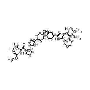 COC(=O)N[C@H](C(=O)N1CCC[C@H]1c1ncc(C2=CCC(C)(c3ccc(-c4cnc([C@@H]5COCCN5C(=O)[C@@H](N)C(C)C)[nH]4)cc3)CC2)[nH]1)C(C)C